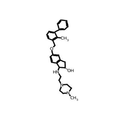 Cc1c(COc2ccc3c(c2)C[C@H](O)C3NCCN2CCN(C)CC2)cccc1-c1ccccc1